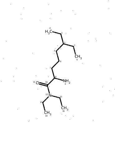 CCC(CC)CCCC(N)C(=O)N(CC)CC